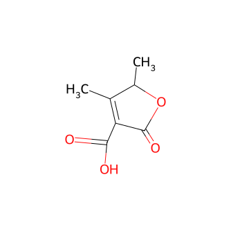 CC1=C(C(=O)O)C(=O)OC1C